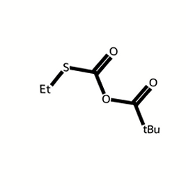 CCSC(=O)OC(=O)C(C)(C)C